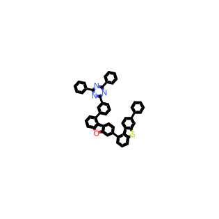 c1ccc(-c2ccc3c(c2)sc2cccc(-c4ccc5c(c4)oc4cccc(-c6cccc(-c7nc(-c8ccccc8)nc(-c8ccccc8)n7)c6)c45)c23)cc1